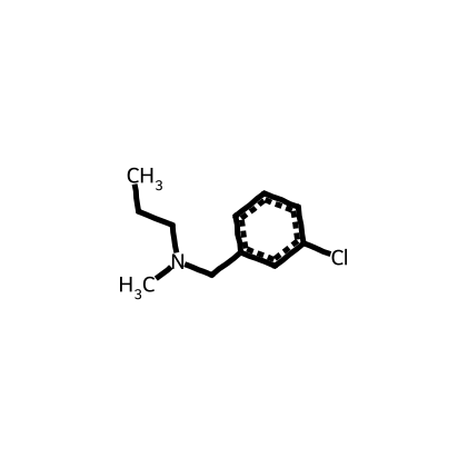 CCCN(C)Cc1cccc(Cl)c1